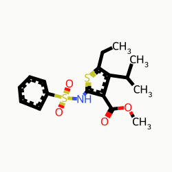 CCc1sc(NS(=O)(=O)c2ccccc2)c(C(=O)OC)c1C(C)C